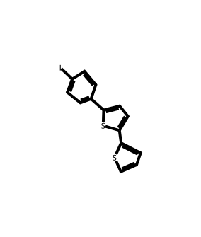 Ic1ccc(-c2ccc(-c3cccs3)s2)cc1